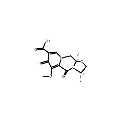 COc1c2n(cc(C(=O)O)c1=O)C[C@H]1OC[C@H](C)N1C2=O